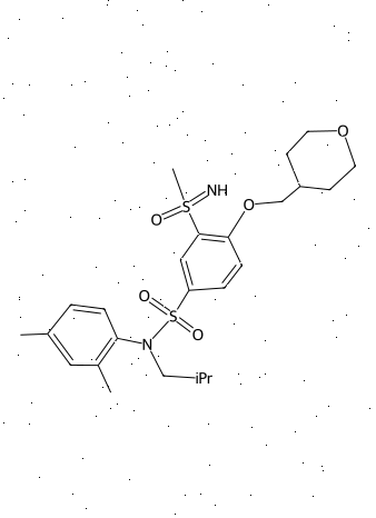 Cc1ccc(N(CC(C)C)S(=O)(=O)c2ccc(OCC3CCOCC3)c(S(C)(=N)=O)c2)c(C)c1